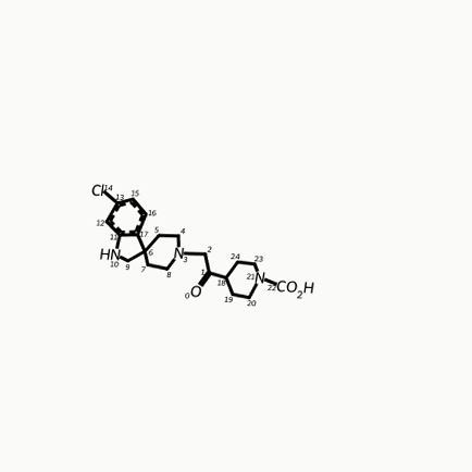 O=C(CN1CCC2(CC1)CNc1cc(Cl)ccc12)C1CCN(C(=O)O)CC1